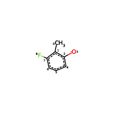 Cc1c([O])cccc1F